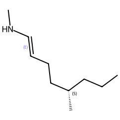 CCC[C@H](C)CC/C=C/NC